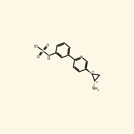 CCS(=O)(=O)Nc1cccc(-c2ccc([C@H]3C[C@@H]3N)cn2)c1